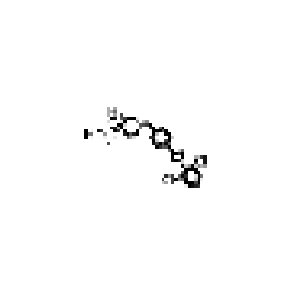 CC1(C(=O)O)CCN(Cc2ccc(C3CN(c4c(Cl)cccc4Cl)C3)cc2)CC1